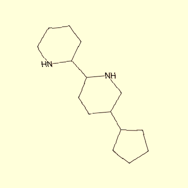 C1CCC(C2CCC(C3CCCC3)CN2)NC1